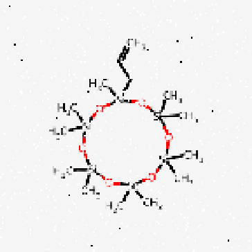 C=CC[Si]1(C)O[Si](C)(C)O[Si](C)(C)O[Si](C)(C)O[Si](C)(C)O[Si](C)(C)O1